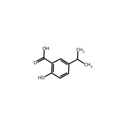 CC(C)c1ccc(O)c(C(=O)O)c1